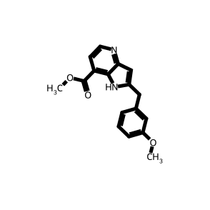 COC(=O)c1ccnc2cc(Cc3cccc(OC)c3)[nH]c12